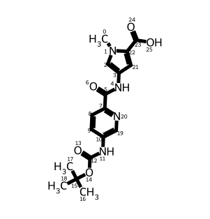 Cn1cc(NC(=O)c2ccc(NC(=O)OC(C)(C)C)cn2)cc1C(=O)O